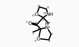 CC1(C(=O)C2(C)NCCO2)NCCO1